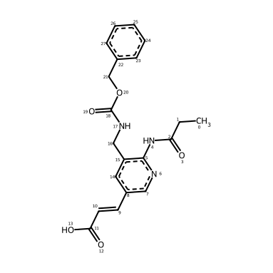 CCC(=O)Nc1ncc(/C=C/C(=O)O)cc1CNC(=O)OCc1ccccc1